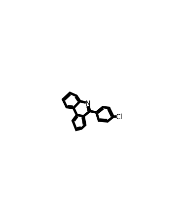 Clc1ccc(-c2nc3ccccc3c3ccccc23)cc1